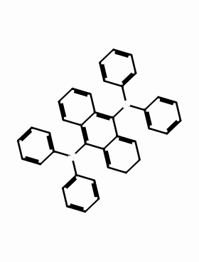 C1=c2c(N(c3ccccc3)c3ccccc3)c3ccccc3c(N(c3ccccc3)c3ccccc3)c2=CCC1